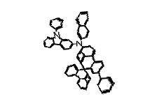 c1ccc(-c2ccc3c(c2)C2(c4ccccc4-c4cccc5cccc2c45)c2cccc4c(N(c5ccc6ccccc6c5)c5ccc6c7ccccc7n(-c7ccccc7)c6c5)ccc-3c24)cc1